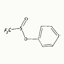 O=S(Oc1cc[c]cc1)C(F)(F)F